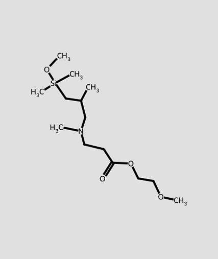 COCCOC(=O)CCN(C)CC(C)C[Si](C)(C)OC